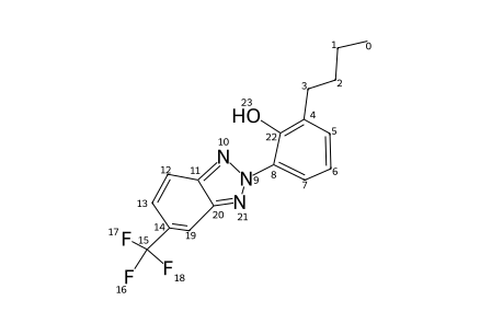 CCCCc1cccc(-n2nc3ccc(C(F)(F)F)cc3n2)c1O